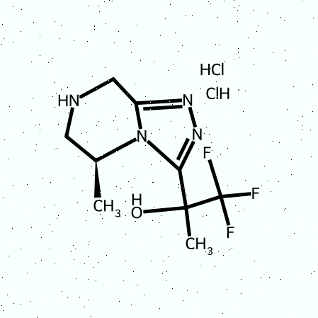 C[C@H]1CNCc2nnc(C(C)(O)C(F)(F)F)n21.Cl.Cl